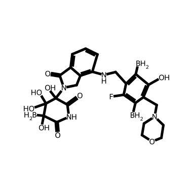 Bc1c(F)c(CNc2cccc3c2CN(C2(O)C(=O)NC(=O)C(B)(O)C2(O)O)C3=O)c(B)c(O)c1CN1CCOCC1